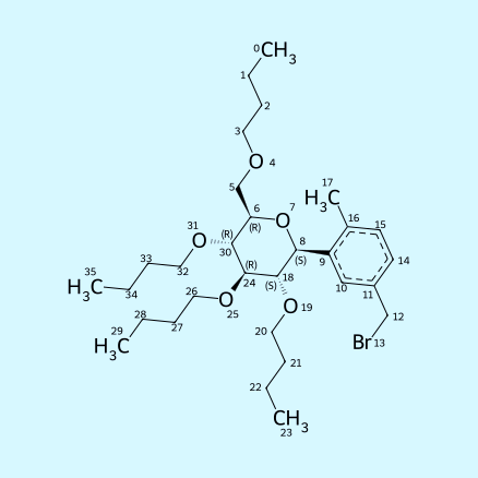 CCCCOC[C@H]1O[C@@H](c2cc(CBr)ccc2C)[C@H](OCCCC)[C@@H](OCCCC)[C@@H]1OCCCC